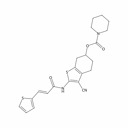 N#Cc1c(NC(=O)C=Cc2cccs2)sc2c1CCC(OC(=O)N1CCCCC1)C2